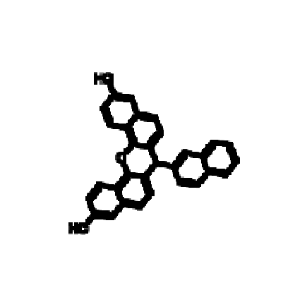 Oc1ccc2c3c(ccc2c1)C(c1ccc2ccccc2c1)c1ccc2cc(O)ccc2c1O3